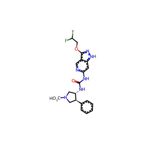 O=C(Nc1cc2[nH]nc(OCC(F)F)c2cn1)N[C@H]1CN(C(=O)O)C[C@@H]1c1ccccc1